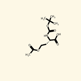 CC(=O)OCC[C@H](NC(=O)OC(C)(C)C)C(=O)O